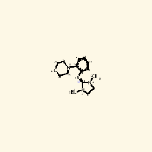 CCCCN1CCN(C)/C1=N\c1ccccc1N1CCOCC1